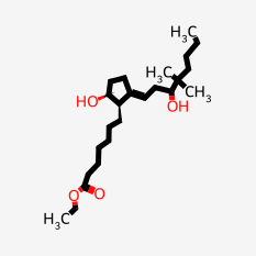 CCCCC(C)(C)C(O)CC=C1CC[C@H](O)[C@@H]1CCCCCCC(=O)OCC